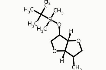 C[C@@H]1CO[C@@H]2[C@H]1OC[C@H]2O[Si](C)(C)C(C)(C)C